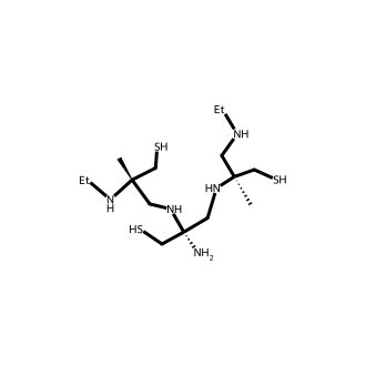 CCNC[C@@](C)(CS)NC[C@@](N)(CS)NC[C@@](C)(CS)NCC